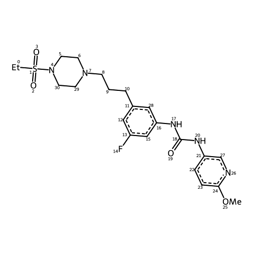 CCS(=O)(=O)N1CCN(CCCc2cc(F)cc(NC(=O)Nc3ccc(OC)nc3)c2)CC1